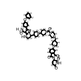 NC(=O)c1c(-c2ccc(Oc3ccccc3)cc2)nn2c1NCCC2C1CCN(C2CCN(C(=O)N3CCN(CC4CCN(c5ccc6c(c5)C(=O)N(C5CCC(=O)NC5=O)C6=O)CC4)CC3)CC2)CC1